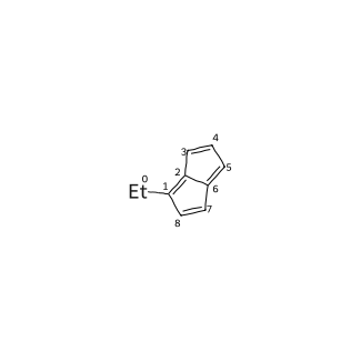 CCC1=C2C=CC=C2C=C1